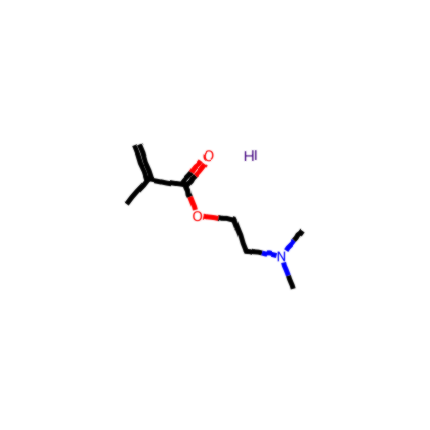 C=C(C)C(=O)OCCN(C)C.I